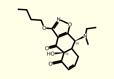 CCCCOc1noc2c1C(=O)[C@@]1(O)C(=O)C=CCC1[C@@H]2N(C)CC